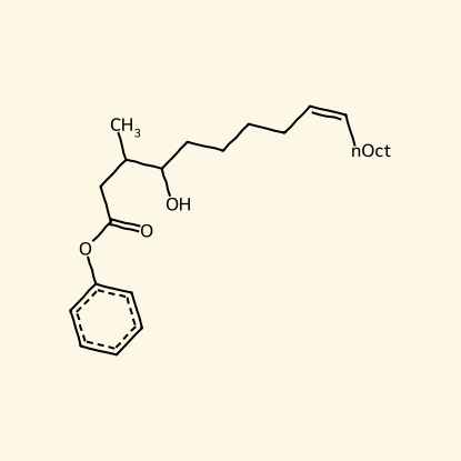 CCCCCCCC/C=C\CCCCC(O)C(C)CC(=O)Oc1ccccc1